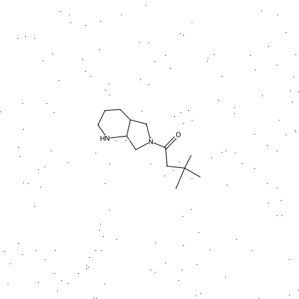 CC(C)(C)CC(=O)N1CC2CCCNC2C1